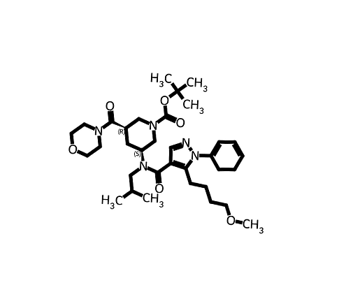 COCCCCc1c(C(=O)N(CC(C)C)[C@H]2C[C@@H](C(=O)N3CCOCC3)CN(C(=O)OC(C)(C)C)C2)cnn1C1=CC=CCC1